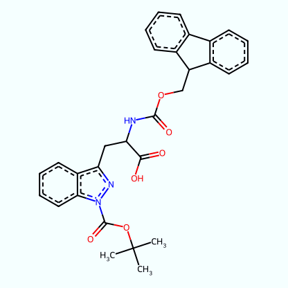 CC(C)(C)OC(=O)n1nc(CC(NC(=O)OCC2c3ccccc3-c3ccccc32)C(=O)O)c2ccccc21